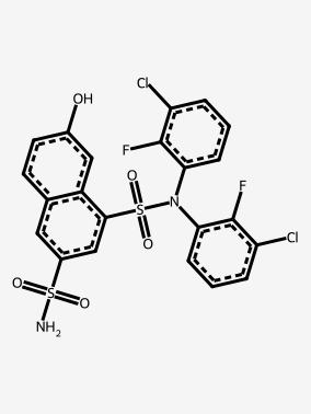 NS(=O)(=O)c1cc(S(=O)(=O)N(c2cccc(Cl)c2F)c2cccc(Cl)c2F)c2cc(O)ccc2c1